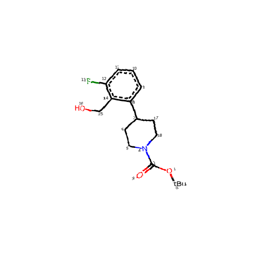 CC(C)(C)OC(=O)N1CCC(c2cccc(F)c2CO)CC1